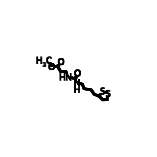 COC(=O)CCNC(=O)NCCCCC1CCSS1